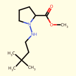 COC(=O)C1CCCN1NCCC(C)(C)C